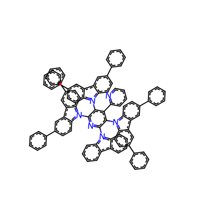 c1ccc(-c2ccc3c(c2)c2cc(-c4ccccc4)ccc2n3-c2nc(-n3c4ccccc4c4ccccc43)c(-n3c4ccc(-c5ccccc5)cc4c4cc(-c5ccccc5)ccc43)c(-c3ccccn3)c2-n2c3ccc(-c4ccccc4)cc3c3cc(-c4ccccc4)ccc32)cc1